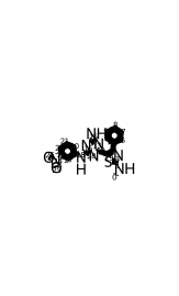 CNc1nc(-c2ccccc2)c(-c2nc(N)nc(Nc3cccc([N+](=O)[O-])c3)n2)s1